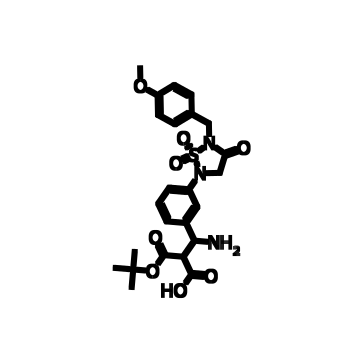 COc1ccc(CN2C(=O)CN(c3cccc(C(N)C(C(=O)O)C(=O)OC(C)(C)C)c3)S2(=O)=O)cc1